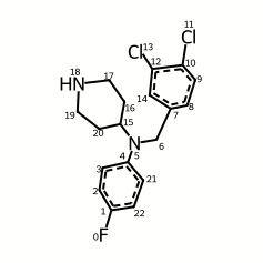 Fc1ccc(N(Cc2ccc(Cl)c(Cl)c2)C2CCNCC2)cc1